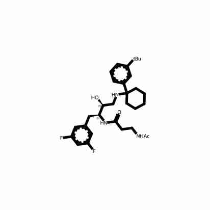 CC(=O)NCCC(=O)N[C@@H](Cc1cc(F)cc(F)c1)[C@@H](O)CNC1(c2cccc(C(C)(C)C)c2)CCCCC1